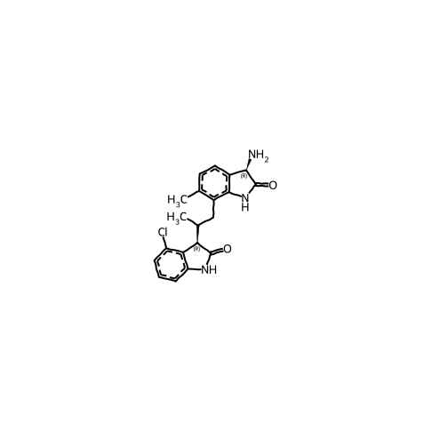 Cc1ccc2c(c1CC(C)[C@H]1C(=O)Nc3cccc(Cl)c31)NC(=O)[C@@H]2N